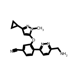 Cn1nc(C2CC2)cc1Oc1cc(C#N)ccc1-c1ccc(CN)nn1